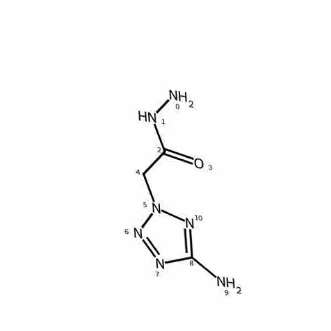 NNC(=O)Cn1nnc(N)n1